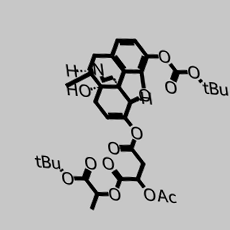 CC(=O)OC(CC(=O)OC1=CC[C@@]2(O)[C@H]3Cc4ccc(OC(=O)OC(C)(C)C)c5c4[C@@]2(CCN3C)[C@H]1O5)C(=O)OC(C)C(=O)OC(C)(C)C